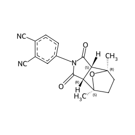 C[C@]12CC[C@](C)(O1)[C@@H]1C(=O)N(c3ccc(C#N)c(C#N)c3)C(=O)[C@@H]12